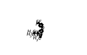 CCOC[C@@H]1C[C@H](Oc2ccc(C(F)(F)F)cc2)CN1C(=O)OC(C)(C)C